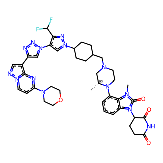 C[C@@H]1CN(CC2CCC(n3cc(-n4cc(-c5cnn6ccc(N7CCOCC7)nc56)nn4)c(C(F)F)n3)CC2)CCN1c1cccc2c1n(C)c(=O)n2C1CCC(=O)NC1=O